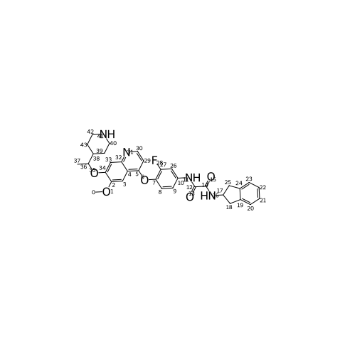 COc1cc2c(Oc3ccc(NC(=O)C(=O)NC4Cc5ccccc5C4)cc3F)ccnc2cc1OC(C)C1CCNCC1